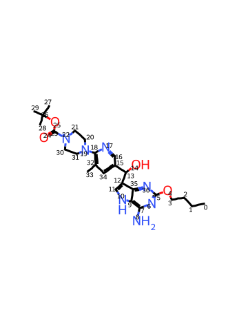 CCCCOc1nc(N)c2[nH]cc(C(O)c3cnc(N4CCN(C(=O)OC(C)(C)C)CC4)c(C)c3)c2n1